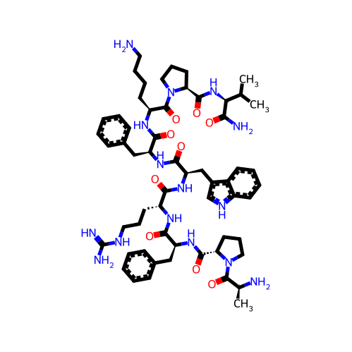 CC(C)[C@H](NC(=O)[C@@H]1CCCN1C(=O)[C@H](CCCCN)NC(=O)[C@H](Cc1ccccc1)NC(=O)[C@@H](Cc1c[nH]c2ccccc12)NC(=O)[C@@H](CCCNC(=N)N)NC(=O)[C@H](Cc1ccccc1)NC(=O)[C@@H]1CCCN1C(=O)[C@H](C)N)C(N)=O